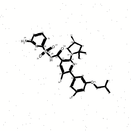 CC(C)COc1cc(F)cc(-c2nc(N3C[C@@H](C)CC3(C)C)c(C(=O)NS(=O)(=O)c3cccc(N)n3)cc2I)c1